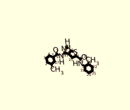 Cc1cccc(C(=O)Nc2n[nH]c3sc(C(=O)Nc4ccccc4C)cc23)c1